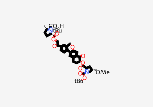 COC[C@H]1CC(C(=O)OC2CCc3cc4c(cc3C2=O)OCc2cc(C(=O)COC(=O)[C@@H]3CC[C@H](C)[N+]3(C(=O)O)C(C)(C)C)ccc2-4)N(C(=O)OC(C)(C)C)C1